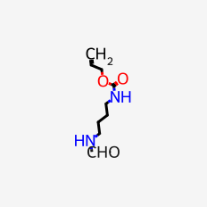 C=CCOC(=O)NCCCCN[C]=O